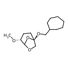 CO[C@@H]1CC[C@]2(OCC3CCCCCC3)COC1O2